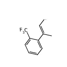 [CH2]C=C(C)c1ccccc1C(F)(F)F